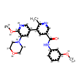 Cc1ncc(C(=O)Nc2cccc(OC(F)(F)F)c2)cc1-c1cnc(OC(C)C)c(N2CCOCC2)c1